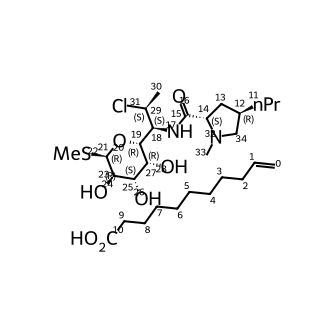 C=CCCCCCCCCC(=O)O.CCC[C@@H]1C[C@@H](C(=O)N[C@@H]([C@H]2O[C@H](SC)[C@H](O)[C@@H](O)[C@H]2O)[C@H](C)Cl)N(C)C1